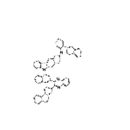 c1ccc2cc3c(cc2c1)c1ccccc1n3-c1ccc2cc3c(cc2c1)c1ccccc1n3-c1cc(-c2nc3ccccc3nc2-c2ccc3c(ccc4ccccc43)c2)cc2ccccc12